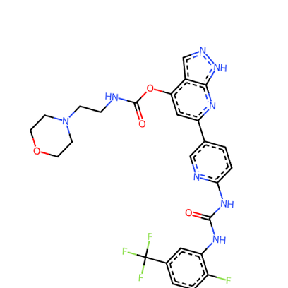 O=C(Nc1ccc(-c2cc(OC(=O)NCCN3CCOCC3)c3cn[nH]c3n2)cn1)Nc1cc(C(F)(F)F)ccc1F